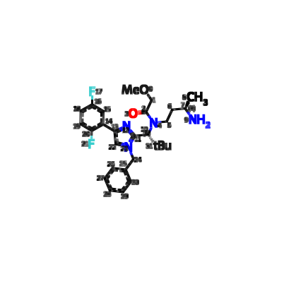 COCC(=O)N(CC[C@@H](C)N)[C@@H](c1nc(-c2cc(F)ccc2F)cn1Cc1ccccc1)C(C)(C)C